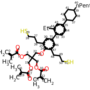 C=C(C)C(=O)OCC(COC(=O)C(=C)C)(COC(=O)C(=C)C)COc1c(CCCS)cc(-c2ccc(C3CCC(CCCCC)CC3)cc2CC)cc1CCCS